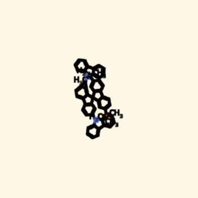 CC(C)(C)c1ccc2c(c1)C1(c3cc(C(C)(C)C)ccc3-2)c2cc(-n3c4ccccc4c4ccccc43)ccc2-c2ccc3c(c21)C3n1c2ccccc2c2ccccc21